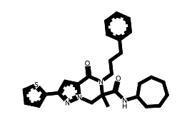 CC1(C(=O)NC2CCCCCC2)Cn2nc(-c3cccs3)cc2C(=O)N1CCCc1ccccc1